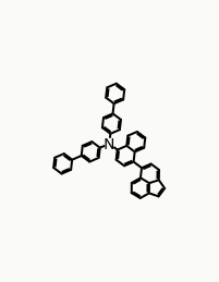 C1=Cc2ccc(-c3ccc(N(c4ccc(-c5ccccc5)cc4)c4ccc(-c5ccccc5)cc4)c4ccccc34)c3cccc1c23